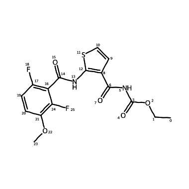 CCOC(=O)NC(=O)c1ccsc1NC(=O)c1c(F)ccc(OC)c1F